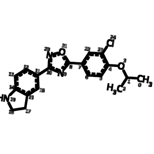 CC(C)Oc1ccc(-c2nc(-c3ccc4c(c3)CCN4)no2)cc1Cl